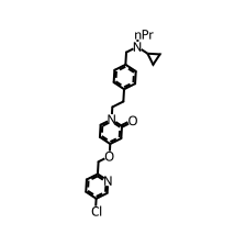 CCCN(Cc1ccc(CCn2ccc(OCc3ccc(Cl)cn3)cc2=O)cc1)C1CC1